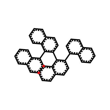 c1ccc2c(-c3ccc4ccccc4c3-c3ccc4ccccc4c3-c3cccc4ccccc34)cccc2c1